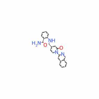 NC(=O)c1ccccc1NCc1ccn(-c2cc3ccccc3cn2)c(=O)c1